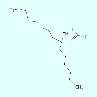 CCCCCCCC(C)(C=C(F)F)CCCCCC